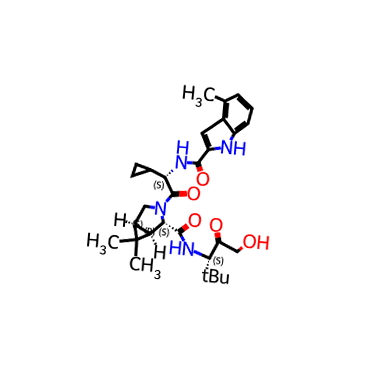 Cc1cccc2[nH]c(C(=O)N[C@H](C(=O)N3C[C@H]4[C@@H]([C@H]3C(=O)N[C@H](C(=O)CO)C(C)(C)C)C4(C)C)C3CC3)cc12